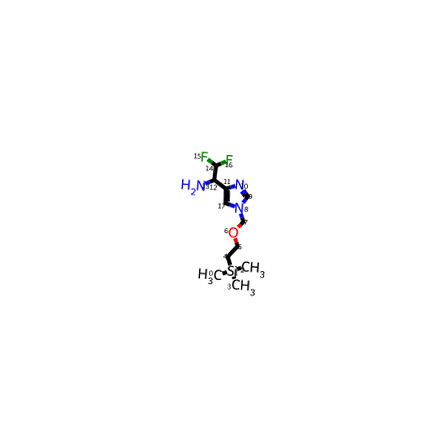 C[Si](C)(C)CCOCn1cnc(C(N)C(F)F)c1